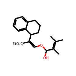 CCOC(=O)/C(=C/OC(O)C(C)=C(C)C)C1CCCc2ccccc21